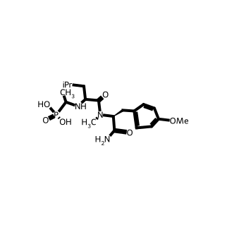 COc1ccc(C[C@@H](C(N)=O)N(C)C(=O)C(CC(C)C)NC(C)P(=O)(O)O)cc1